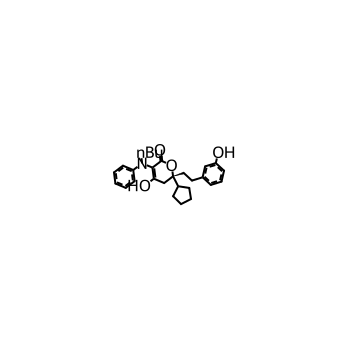 CCCCN(C1=C(O)C[C@@](CCc2cccc(O)c2)(C2CCCC2)OC1=O)c1ccccc1